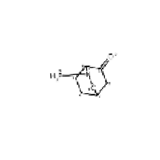 O=C1CC2CCC1N(P)C2